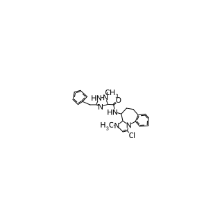 CN1C=C(Cl)N2c3ccccc3CCC(NC(=O)C3N=C(Cc4ccccc4)NN3C)C12